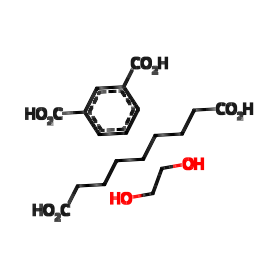 O=C(O)CCCCCCCC(=O)O.O=C(O)c1cccc(C(=O)O)c1.OCCO